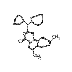 Cc1ccc2c(O)cc3c(=O)oc(C(c4ccccc4)c4ccccc4)cc3c2c1